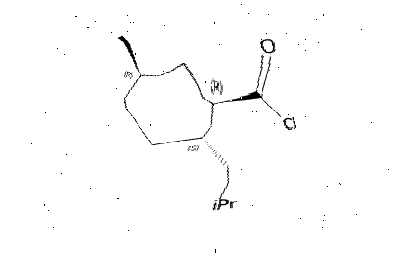 CC(C)C[C@@H]1CC[C@@H](C)C[C@H]1C(=O)Cl